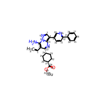 C=Cc1c(N)n2ncc(-c3ccc(-c4ccccc4)nc3)c2nc1[C@H]1CC[C@H](C(=O)OC(C)(C)C)CC1